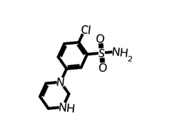 NS(=O)(=O)c1cc(N2C=CCNC2)ccc1Cl